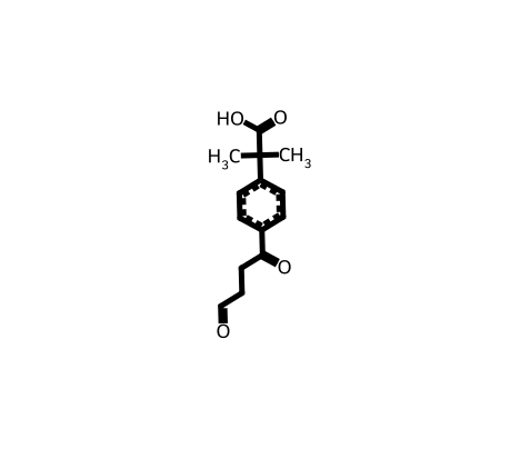 CC(C)(C(=O)O)c1ccc(C(=O)CCC=O)cc1